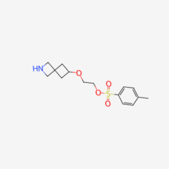 Cc1ccc(S(=O)(=O)OCCOC2CC3(CNC3)C2)cc1